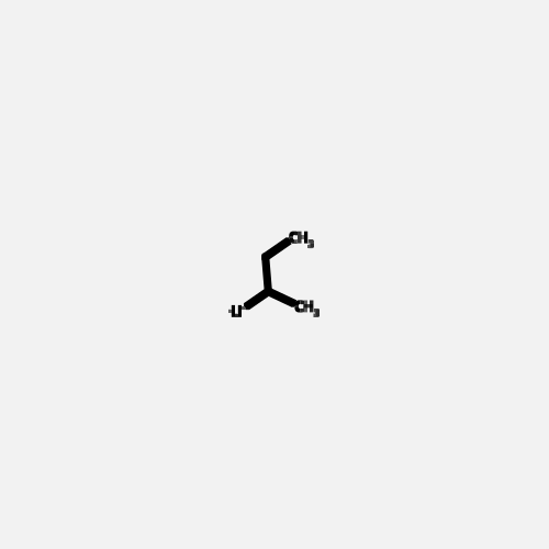 [Li-][CH](C)CC